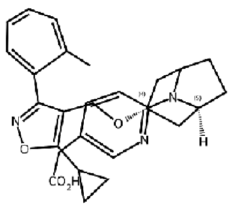 Cc1ccccc1-c1noc(C2CC2)c1CO[C@@H]1CC2CC[C@@H](C1)N2c1ccc(CC(=O)O)cn1